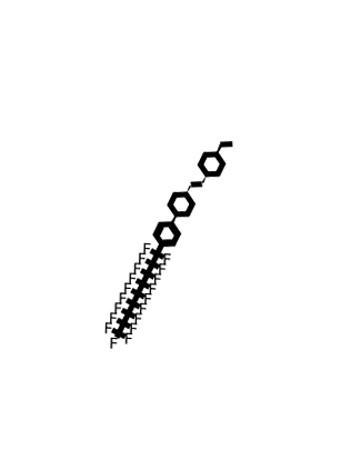 CC[C@H]1CC[C@H](CC[C@H]2CC[C@H](c3ccc(C(F)(F)C(F)(F)C(F)(F)C(F)(F)C(F)(F)C(F)(F)C(F)(F)C(F)(F)C(F)(F)F)cc3)CC2)CC1